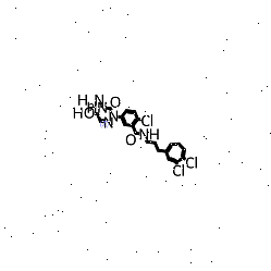 NNC(=O)N(/N=C\CO)c1ccc(Cl)c(C(=O)NCCCC2=CCC=C(Cl)C(Cl)=C2)c1